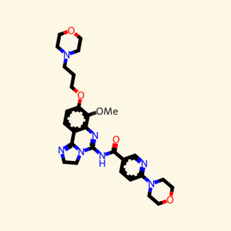 COc1c(OCCCN2CCOCC2)ccc2c1N=C(NC(=O)c1ccc(N3CCOCC3)nc1)N1CCN=C21